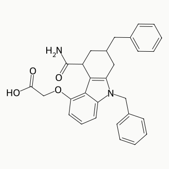 NC(=O)C1CC(Cc2ccccc2)Cc2c1c1c(OCC(=O)O)cccc1n2Cc1ccccc1